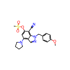 COc1ccc(Cn2ncc3c(N4CCCC4)cc(OS(C)(=O)=O)c(C#N)c32)cc1